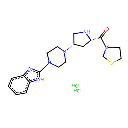 Cl.Cl.O=C([C@@H]1C[C@H](N2CCN(c3nc4ccccc4[nH]3)CC2)CN1)N1CCSC1